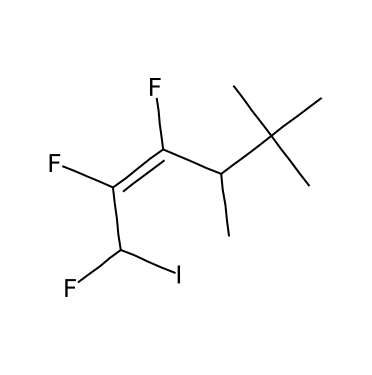 CC(/C(F)=C(/F)C(F)I)C(C)(C)C